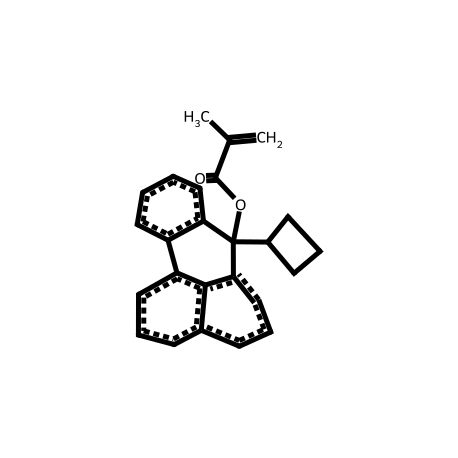 C=C(C)C(=O)OC1(C2CCC2)c2ccccc2-c2cccc3cccc1c23